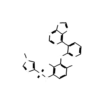 Cn1cnc(S(=O)(=O)Nc2ccc(F)c(Nc3ncccc3-c3ncnc4[nH]cnc34)c2F)c1